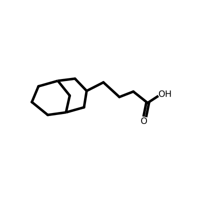 O=C(O)CCCC1CC2CCCC(C1)C2